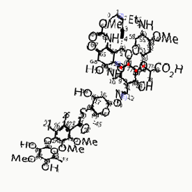 C/C=C\C#C[C@H](O[C@@H]1O[C@H](C)C(/C=N/O[C@H]2C[C@H](O)[C@H](SC(=O)c3c(C)c(I)c(O[C@@H]4O[C@@H](C)[C@H](O)[C@@H](OC)[C@H]4O)c(OC)c3OC)[C@@H](C)O2)[C@H](O)[C@H]1O[C@H]1C[C@H](OC)[C@@H](NCC)CO1)C1=C(NC(=O)OC)C(=O)C[C@](N)(O)/C1=C/CSSC(C)C(=O)O